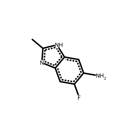 Cc1nc2cc(F)c(N)cc2[nH]1